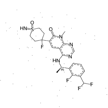 C[C@@H](Nc1ncnc2c1cc(C1(F)CCS(=N)(=O)CC1)c(=O)n2C)c1cccc(C(F)F)c1F